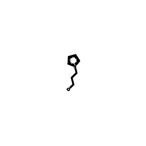 [O]CCCn1cccc1